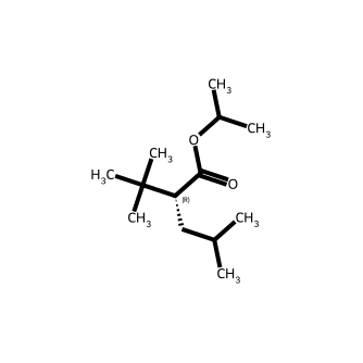 CC(C)C[C@@H](C(=O)OC(C)C)C(C)(C)C